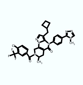 CC1Cc2c(n3ncc(CC4CCC4)c3n(-c3ccc(-c4nncn4C)cc3)c2=O)CN1C(=O)c1ccc(Cl)c(C(F)(F)F)c1